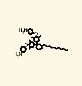 CCCCCCCCCCCC1CCCC(c2cc(C)c(Oc3ccc(N)cc3)c(C)c2)(c2cc(C)c(Oc3ccc(N)cc3)c(C)c2)C1